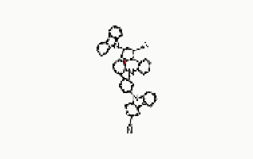 N#Cc1ccc2c(c1)c1ccccc1n2-c1ccc2c3ccccc3n(-c3ccccc3-c3ccc(-n4c5ccccc5c5ccccc54)cc3C#N)c2c1